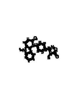 CN1c2ccccc2C2C1C=CC(=O)N2c1ccc(-c2noc(=O)n2C)cc1